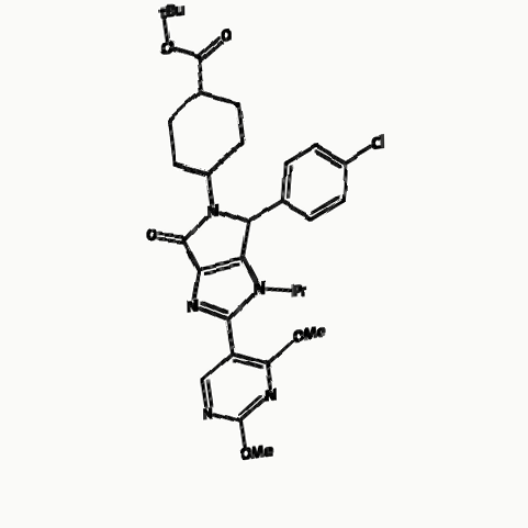 COc1ncc(-c2nc3c(n2C(C)C)C(c2ccc(Cl)cc2)N(C2CCC(C(=O)OC(C)(C)C)CC2)C3=O)c(OC)n1